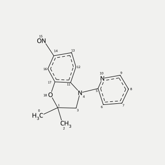 CC1(C)CN(c2ccccn2)c2ccc(N=O)cc2O1